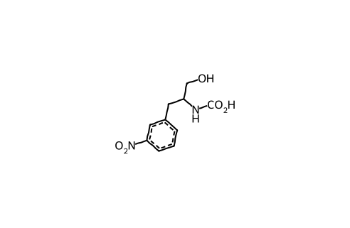 O=C(O)NC(CO)Cc1cccc([N+](=O)[O-])c1